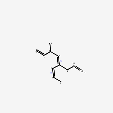 C=CC(C)/C=C(\C=C/C)CN=O